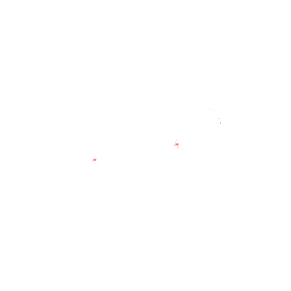 CC/C=C\C/C=C\C/C=C\CCCCCCCC(=O)OCCCCCCCCCCCCCCCCC(=O)O